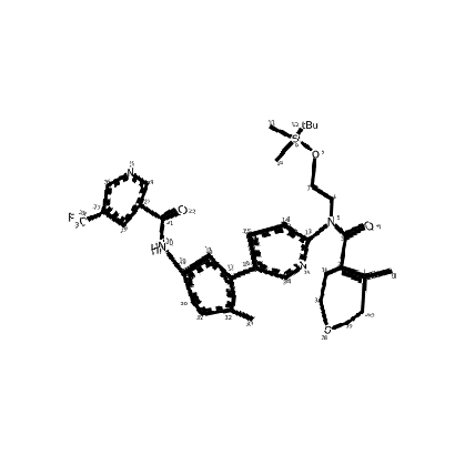 CC1=C(C(=O)N(CCO[Si](C)(C)C(C)(C)C)c2ccc(-c3cc(NC(=O)c4cncc(C(F)(F)F)c4)ccc3C)cn2)CCOCC1